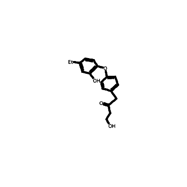 CCc1ccc(Oc2ccc(CC(=O)CCO)cc2)c(O)c1